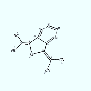 N#CC(C#N)=c1oc(=C(C#N)C#N)c2ccccc12